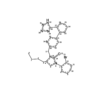 CCCCc1cn(-c2ccccc2Br)c(=O)n1Cc1ccc(-c2ccccc2-c2nnn[nH]2)cn1